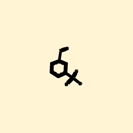 [O]S(=O)(=O)c1cccc(N=O)c1